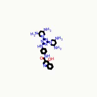 N[C@@H]1C[C@H](N)CN(c2nc(Nc3ccc(NC(=O)c4cnc5ccccc5c4O)cc3)nc(N3C[C@H](N)C[C@H](N)C3)n2)C1